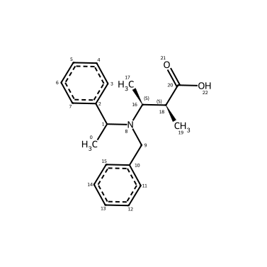 CC(c1ccccc1)N(Cc1ccccc1)[C@@H](C)[C@H](C)C(=O)O